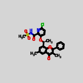 Cc1cc([C@@H](C)Oc2ccc(Cl)nc2C(=O)NS(C)(=O)=O)c2oc(-c3ccccc3)c(C)c(=O)c2c1